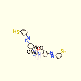 COc1cc(/N=N/c2cccc(S)c2)ccc1NC(=O)Nc1ccc(/N=N/c2cccc(S)c2)cc1OC